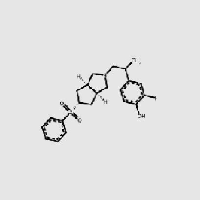 CC(CN1C[C@H]2C[C@H](S(=O)(=O)c3ccccc3)C[C@H]2C1)c1ccc(O)c(F)c1